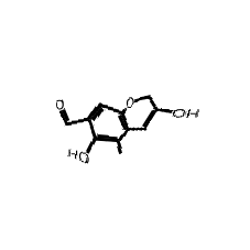 Cc1c(O)c(C=O)cc2c1C=C(O)CO2